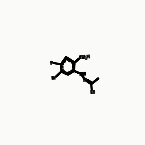 CCC(C)=NNc1cc(Br)c(F)cc1C(=O)O